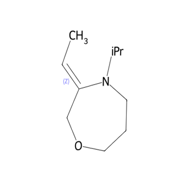 C/C=C1/COCCCN1C(C)C